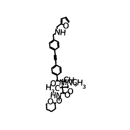 CNC(=O)C(C)(C(=O)NOC1CCCCO1)N(C)C(=O)c1ccc(C#Cc2ccc(CNCc3ccco3)cc2)cc1